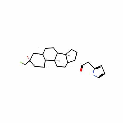 C[C@]12CC[C@H]3[C@@H](CC[C@@H]4C[C@@](O)(CF)CC[C@@H]43)[C@@H]1CC[C@@H]2C(=O)Cc1ccc[nH]1